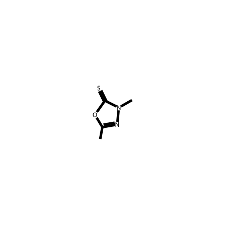 Cc1nn(C)c(=S)o1